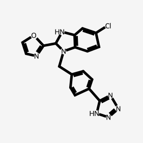 Clc1ccc2c(c1)NC(c1ncco1)N2Cc1ccc(-c2nnn[nH]2)cc1